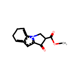 COC(=O)C1Cn2c(cc3c2=CCCC=3)C1=O